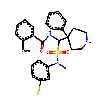 COc1ccccc1C(=O)NC(C1(c2ccccc2)CCNCC1)S(=O)(=O)N(C)c1cccc(F)c1